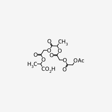 CC(=O)OCC(=O)OCC(=O)OC(C)C(=O)OCC(=O)OC(C)C(=O)O